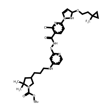 CC(C)(C)OC(=O)N1CC(CCCNc2ccnc(SNC(=O)c3ccc(N4C=CC(OCCC5(C(F)(F)F)CC5)N4)nc3Cl)c2)CC1(C)C